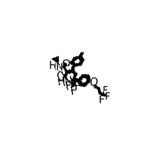 Cc1ccc(C2=C(C(=O)NC3CC3)C(=O)NC(c3ccc(OCCCC(F)(F)F)cc3)(C(F)(F)F)C2)cc1